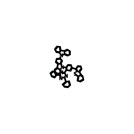 c1ccc(-c2nc(-c3ccccc3)nc(-c3cc(-c4cccc5c4sc4ccccc45)ccc3-n3c4ccccc4c4ccc(-n5c6ccccc6c6ccccc65)cc43)n2)cc1